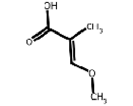 CO/C=C(\C)C(=O)O